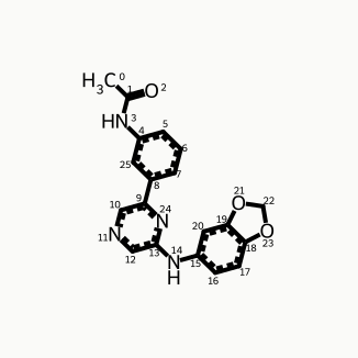 CC(=O)Nc1cccc(-c2cncc(Nc3ccc4c(c3)OCO4)n2)c1